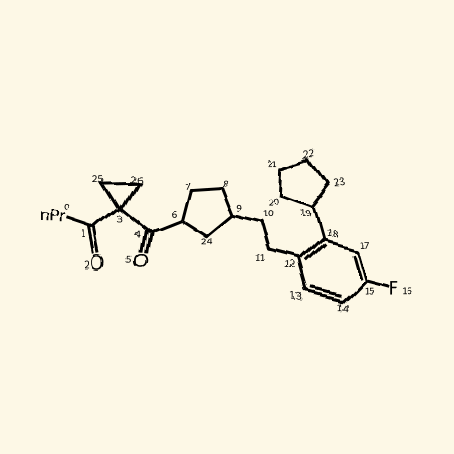 CCCC(=O)C1(C(=O)C2CCC(CCc3ccc(F)cc3C3CCCC3)C2)CC1